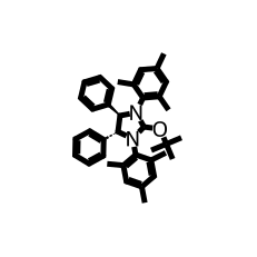 Cc1cc(C)c(N2C(OC(C)(C)C)N(c3c(C)cc(C)cc3C)[C@H](c3ccccc3)[C@H]2c2ccccc2)c(C)c1